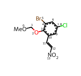 COCOc1c(Br)cc(Cl)cc1C=C[N+](=O)[O-]